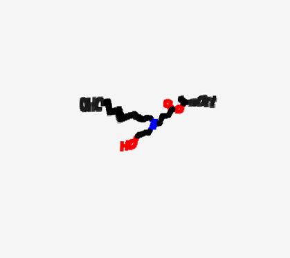 CCCCCCCCC(C)OC(=O)CCCN(CCO)CCCCCCCC=O